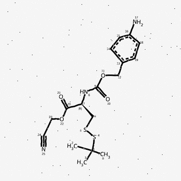 CC(C)(C)SSC[C@H](NC(=O)OCc1ccc(N)cc1)C(=O)OCC#N